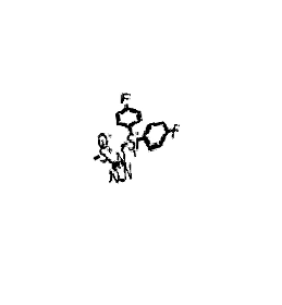 C[S+]([O-])c1ncnn1C[Si](C)(c1ccc(F)cc1)c1ccc(F)cc1